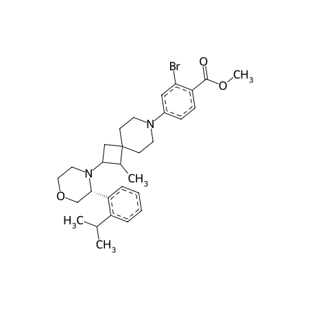 COC(=O)c1ccc(N2CCC3(CC2)CC(N2CCOC[C@H]2c2ccccc2C(C)C)C3C)cc1Br